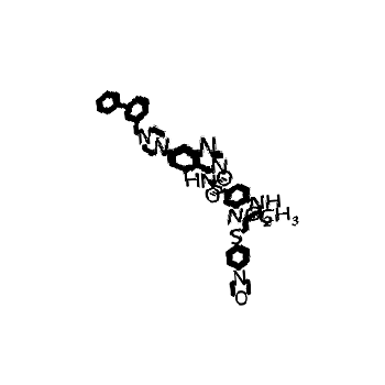 C[C@H](CCSc1ccc(N2CCOCC2)cc1)Nc1ccc(S(=O)(=O)Nc2ncnc3cc(N4CCN(Cc5cccc(-c6ccccc6)c5)CC4)ccc23)cc1[N+](=O)[O-]